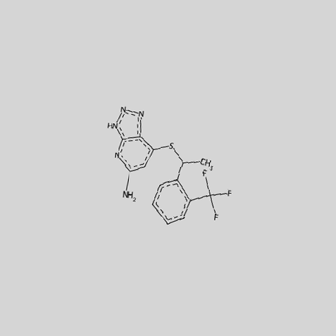 CC(Sc1cc(N)nc2[nH]nnc12)c1ccccc1C(F)(F)F